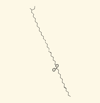 CCCCC=CCCCCCCCC(=O)OCCCCCCCCCCCCCCCCCCCCCCCCCC(C)CC